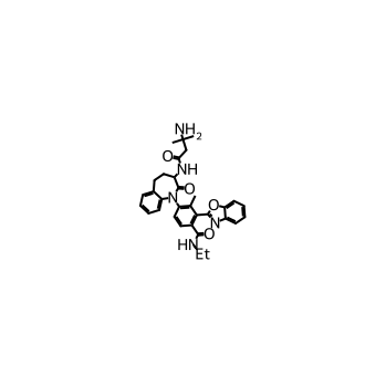 CCNC(=O)c1ccc(N2C(=O)C(NC(=O)CC(C)(C)N)CCc3ccccc32)c(C)c1-c1nc2ccccc2o1